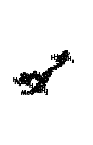 COc1ccc(C(C)(C)c2ccc3c4ccc(-c5ccc(OCCCCCCOc6ccc(C(C)(C)c7ccccc7)c(C)c6)cc5C)cc4n(-c4ccc(C(=O)c5ccc(N6c7ccccc7C(C)(C)c7ccccc76)cc5)cc4)c3c2)c(C)c1